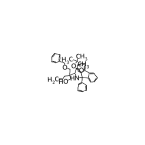 C=CCC(CO)(COCc1ccccc1)[C@H](NC1(c2ccccc2)c2ccccc2-c2ccccc21)C(=O)OC(C)(C)C